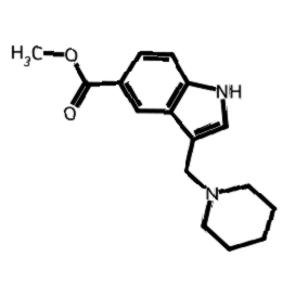 COC(=O)c1ccc2[nH]cc(CN3CCCCC3)c2c1